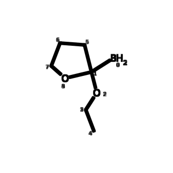 BC1(OCC)CCCO1